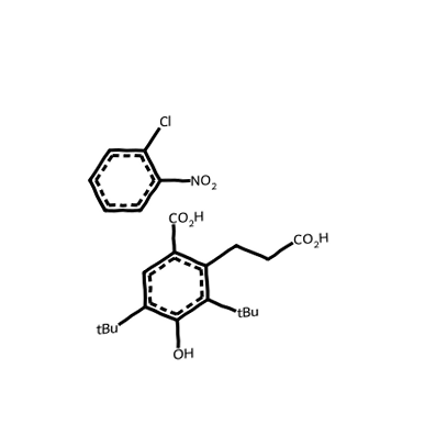 CC(C)(C)c1cc(C(=O)O)c(CCC(=O)O)c(C(C)(C)C)c1O.O=[N+]([O-])c1ccccc1Cl